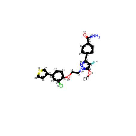 CCOc1c(F)c(-c2ccc(C(N)=O)cc2)nn1CCOc1ccc(-c2ccsc2)cc1Cl